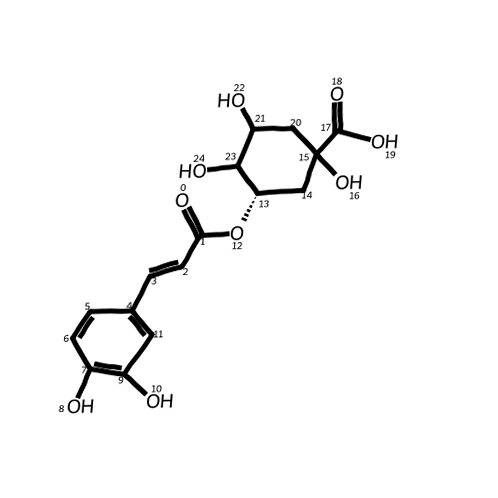 O=C(/C=C/c1ccc(O)c(O)c1)O[C@H]1CC(O)(C(=O)O)CC(O)C1O